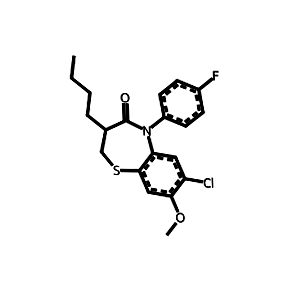 CCCCC1CSc2cc(OC)c(Cl)cc2N(c2ccc(F)cc2)C1=O